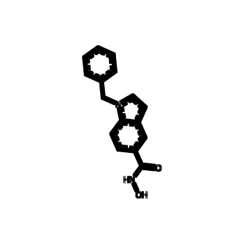 O=C(NO)c1ccc2c(ccn2Cc2ccccc2)c1